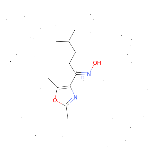 Cc1nc(/C(CCC(C)C)=N/O)c(C)o1